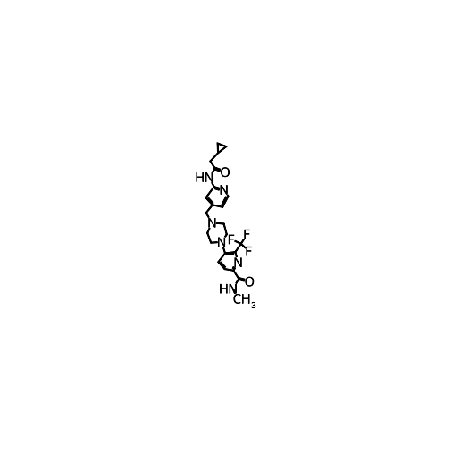 CNC(=O)c1ccc(N2CCN(Cc3ccnc(NC(=O)CC4CC4)c3)CC2)c(C(F)(F)F)n1